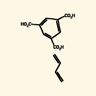 C=CC=C.O=C(O)c1cc(C(=O)O)cc(C(=O)O)c1